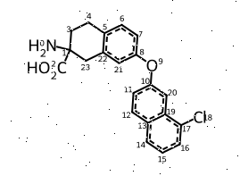 NC1(C(=O)O)CCc2ccc(Oc3ccc4cccc(Cl)c4c3)cc2C1